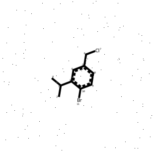 CC(C)c1cc(CCl)ccc1Br